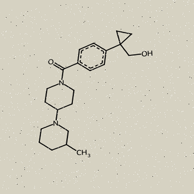 CC1CCCN(C2CCN(C(=O)c3ccc(C4(CO)CC4)cc3)CC2)C1